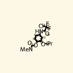 CNC(=O)Oc1ccc(NC(=O)C(F)(F)Cl)cc1OC(C)C